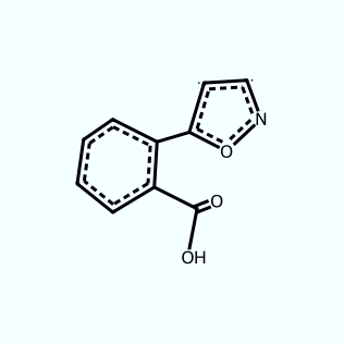 O=C(O)c1ccccc1-c1[c][c]no1